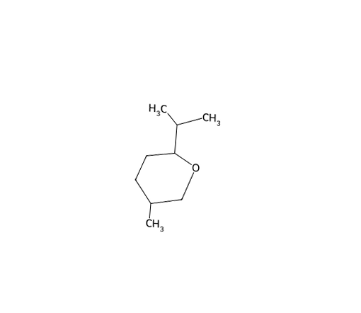 CC1CCC(C(C)C)OC1